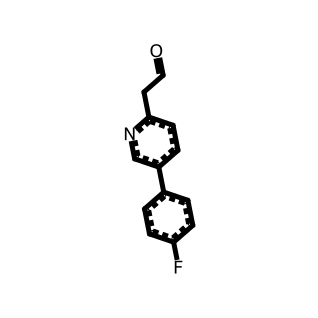 O=CCc1ccc(-c2ccc(F)cc2)cn1